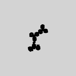 C1=CC(N(c2ccc(/C=C/c3cc(-c4ccccn4)nc(-c4ccccn4)c3)cc2)c2ccc(-c3ccc(N(c4ccccc4)c4ccccc4)cc3)cc2)=CCC1